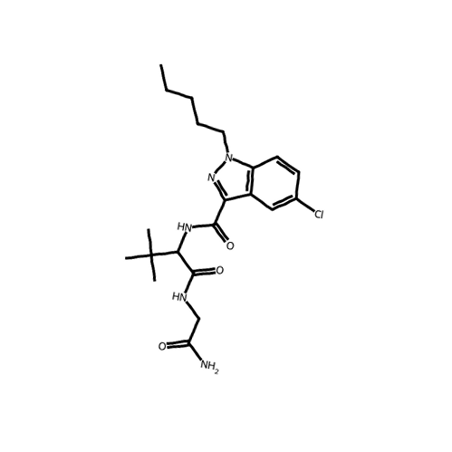 CCCCCn1nc(C(=O)NC(C(=O)NCC(N)=O)C(C)(C)C)c2cc(Cl)ccc21